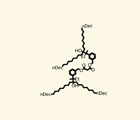 CCCCCCCCCCCCCCCCCCC(O)(CCCCCCCCCCCCCCCCCC)C(C)(CC)c1cccc(COC(=O)CC(=O)OCc2cccc(C(C)(CC)C(O)(CCCCCCCCCCCCCCCCCC)CCCCCCCCCCCCCCCCCC)c2)c1